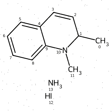 CC1C=Cc2ccccc2N1C.I.N